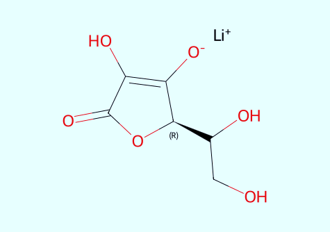 O=C1O[C@H](C(O)CO)C([O-])=C1O.[Li+]